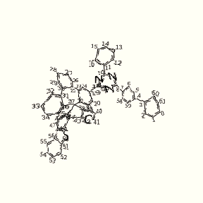 c1ccc(-c2ccc(-c3nc(-c4ccccc4)nc(-c4ccc5c(c4)-c4ccccc4-c4ccccc4C54c5ccccc5-c5c4ccc4c5sc5ccccc54)n3)cc2)cc1